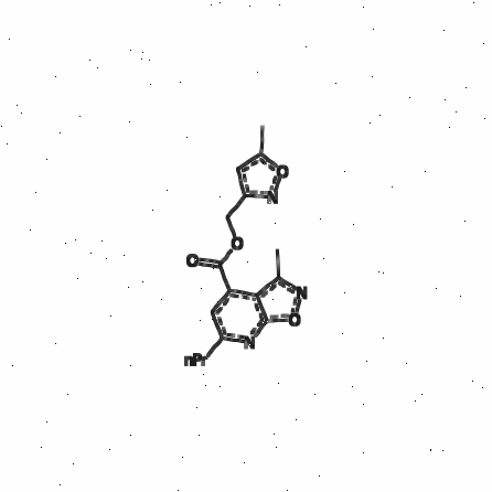 CCCc1cc(C(=O)OCc2cc(C)on2)c2c(C)noc2n1